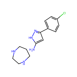 C1CNCCNC1.Nc1cc(-c2ccc(Cl)cc2)n[nH]1